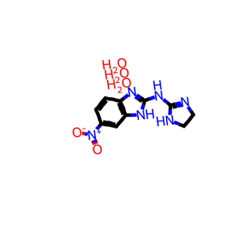 O.O.O.O=[N+]([O-])c1ccc2nc(NC3=NCCN3)[nH]c2c1